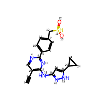 C#Cc1cnc(-c2ccc(C[SH](=O)=O)cc2)nc1Nc1cc(C2CC2)[nH]n1